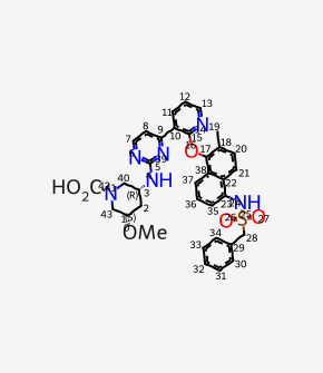 CO[C@H]1C[C@@H](Nc2nccc(-c3cccnc3Oc3c(C)ccc4c(NS(=O)(=O)Cc5ccccc5)cccc34)n2)CN(C(=O)O)C1